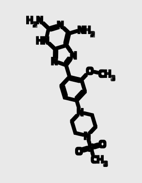 COc1cc(N2CCN(S(C)(=O)=O)CC2)ccc1-c1nc2[nH]c(N)nc(N)c-2n1